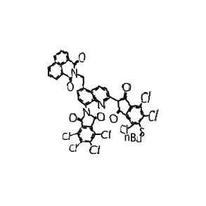 CCCCSc1c(Cl)c(Cl)c2c(c1Cl)C(=O)C(c1ccc3c(CN4C(=O)c5cccc6cccc(c56)C4=O)ccc(N4C(=O)c5c(Cl)c(Cl)c(Cl)c(Cl)c5C4=O)c3n1)C2=O